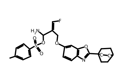 Cc1ccc(S(=O)(=O)OC(N)/C(=C/F)COc2ccc3nc(C45CCC(CC4)CC5)oc3c2)cc1